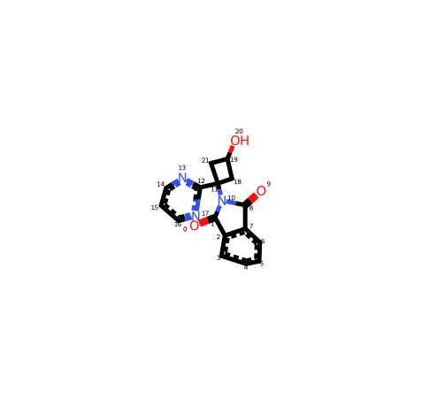 O=C1c2ccccc2C(=O)N1C1(c2ncccn2)CC(O)C1